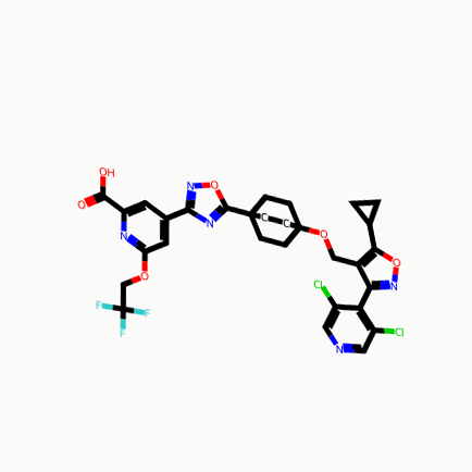 O=C(O)c1cc(-c2noc(C34CCC(OCc5c(-c6c(Cl)cncc6Cl)noc5C5CC5)(CC3)CC4)n2)cc(OCC(F)(F)F)n1